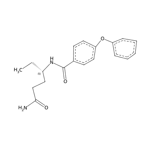 CC[C@@H](CCC(N)=O)NC(=O)c1ccc(Oc2ccccc2)cc1